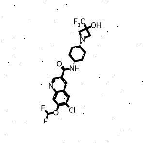 O=C(N[C@H]1CC[C@H](N2CC(O)(C(F)(F)F)C2)CC1)c1cnc2cc(OC(F)F)c(Cl)cc2c1